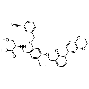 Cc1cc(CNC(CO)C(=O)O)c(OCc2cccc(C#N)c2)cc1OCc1cccn(-c2ccc3c(c2)OCCO3)c1=O